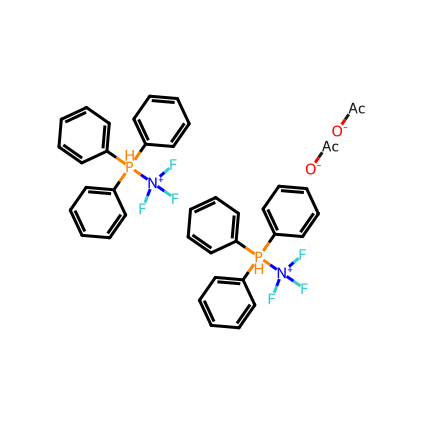 CC(=O)[O-].CC(=O)[O-].F[N+](F)(F)[PH](c1ccccc1)(c1ccccc1)c1ccccc1.F[N+](F)(F)[PH](c1ccccc1)(c1ccccc1)c1ccccc1